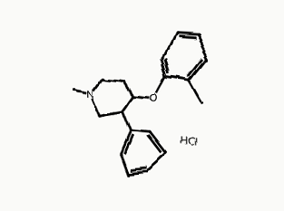 Cc1ccccc1OC1CCN(C)CC1c1ccccc1.Cl